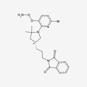 CC1(C)C[C@@H](CCCN2C(=O)c3ccccc3C2=O)CN1c1nc(Br)ccc1OON